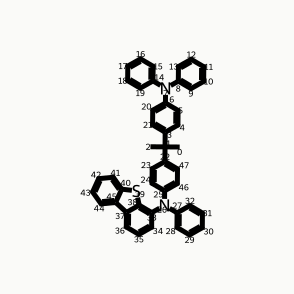 CC(C)(c1ccc(N(c2ccccc2)c2ccccc2)cc1)c1ccc(N(c2ccccc2)c2cccc3c2sc2ccccc23)cc1